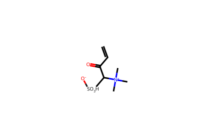 C=CC(=O)C(C)[N+](C)(C)C.O=S(=O)([O-])O